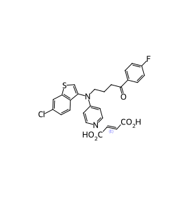 O=C(CCCN(c1ccncc1)c1csc2cc(Cl)ccc12)c1ccc(F)cc1.O=C(O)/C=C/C(=O)O